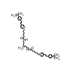 CN(CCCNC(=O)CCCCC[n+]1ccc(C=Cc2ccc(N(C)C)cc2)cc1)CCCNC(=O)CCCCC[n+]1ccc(C=Cc2ccc(N(C)C)cc2)cc1